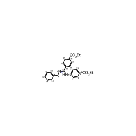 CCOC(=O)c1ccc(N/C(=N\Cc2ccccc2)c2ccc(C(=O)OCC)cc2)cc1